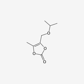 Cc1oc(=O)oc1COC(C)C